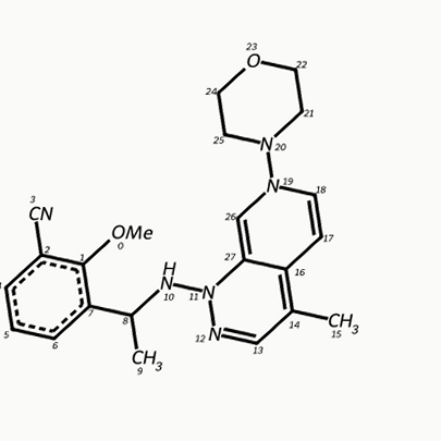 COc1c(C#N)cccc1C(C)NN1N=CC(C)=C2C=CN(N3CCOCC3)C=C21